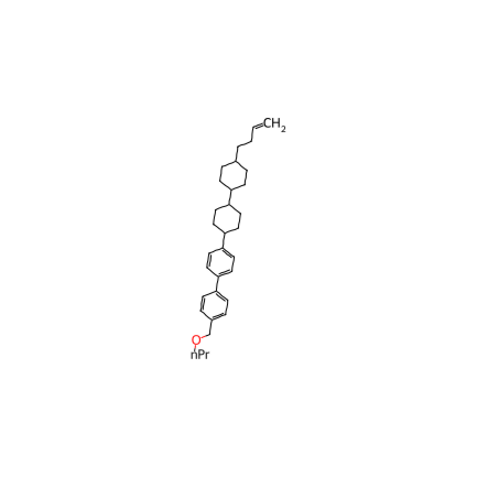 C=CCCC1CCC(C2CCC(c3ccc(-c4ccc(COCCC)cc4)cc3)CC2)CC1